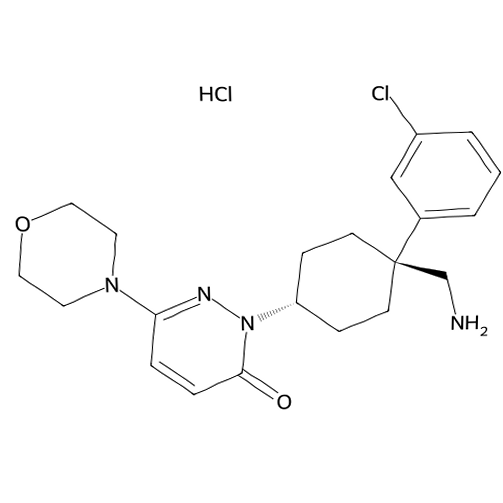 Cl.NC[C@]1(c2cccc(Cl)c2)CC[C@@H](n2nc(N3CCOCC3)ccc2=O)CC1